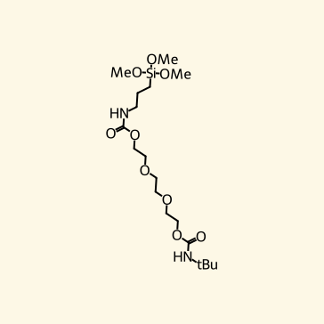 CO[Si](CCCNC(=O)OCCOCCOCCOC(=O)NC(C)(C)C)(OC)OC